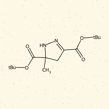 CC(C)(C)OC(=O)C1=NNC(C)(C(=O)OC(C)(C)C)C1